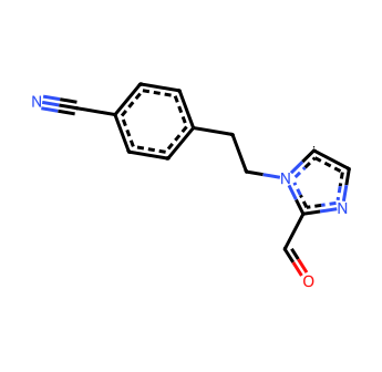 N#Cc1ccc(CCn2[c]cnc2C=O)cc1